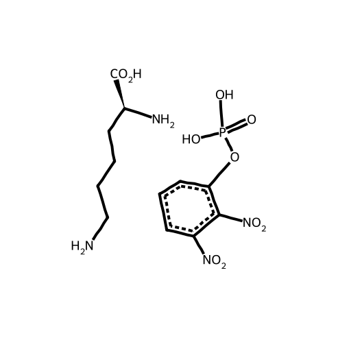 NCCCC[C@H](N)C(=O)O.O=[N+]([O-])c1cccc(OP(=O)(O)O)c1[N+](=O)[O-]